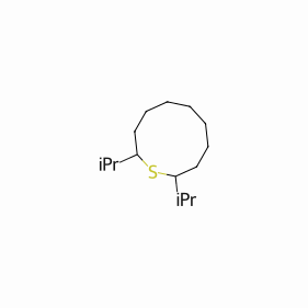 CC(C)C1CCCCCCCC(C(C)C)S1